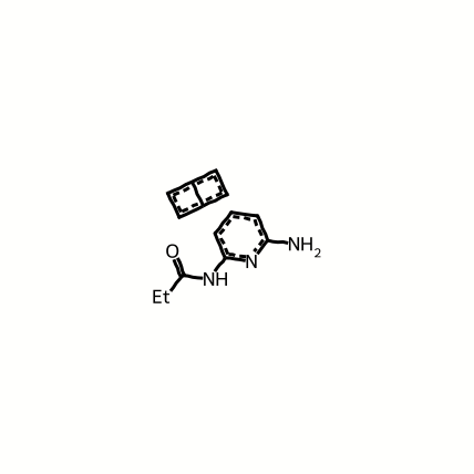 CCC(=O)Nc1cccc(N)n1.c1cc2ccc1-2